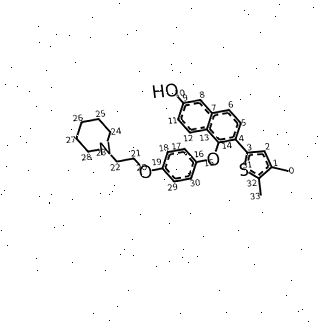 Cc1cc(-c2ccc3cc(O)ccc3c2Oc2ccc(OCCN3CCCCC3)cc2)sc1C